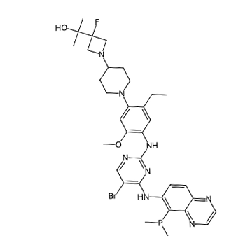 CCc1cc(Nc2ncc(Br)c(Nc3ccc4nccnc4c3P(C)C)n2)c(OC)cc1N1CCC(N2CC(F)(C(C)(C)O)C2)CC1